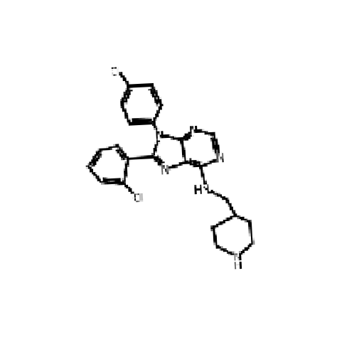 Clc1ccc(-n2c(-c3ccccc3Cl)nc3c(NCC4CCNCC4)ncnc32)cc1